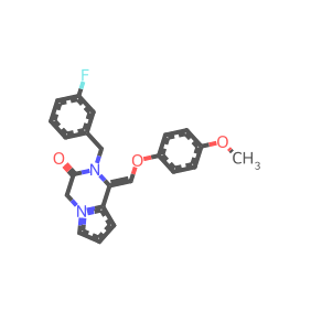 COc1ccc(OC=C2c3cccn3CC(=O)N2Cc2cccc(F)c2)cc1